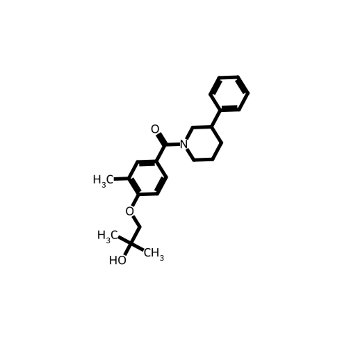 Cc1cc(C(=O)N2CCCC(c3ccccc3)C2)ccc1OCC(C)(C)O